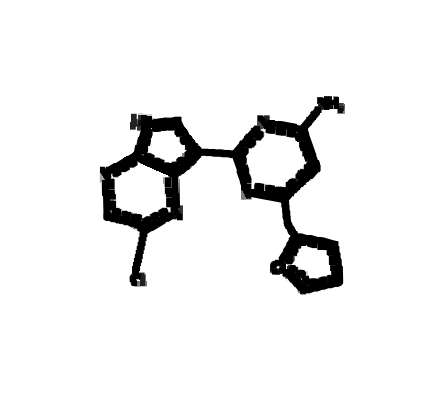 Nc1cc(-c2ccco2)nc(-c2c[nH]c3ncc(Cl)nc23)n1